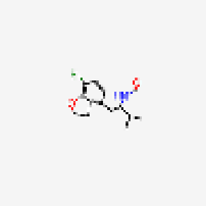 CC(C)C(Cc1ccc(Br)c2c1CCO2)NC=O